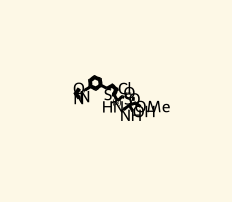 COCC1(CO)C(=N)N[C@](C)(c2sc(-c3cccc(-c4nnco4)c3)cc2Cl)CS1(=O)=O